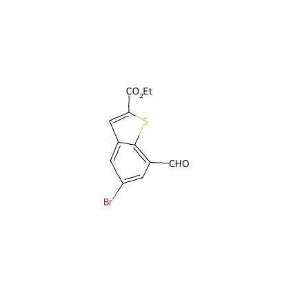 CCOC(=O)c1cc2cc(Br)cc(C=O)c2s1